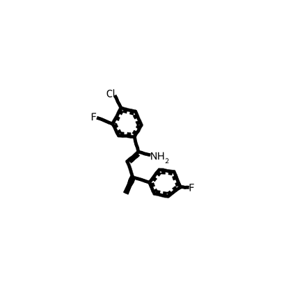 C=C(/C=C(\N)c1ccc(Cl)c(F)c1)c1ccc(F)cc1